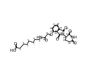 O=C(O)CCCCCCCNC(=O)COc1cccc2c1C(=O)N(C1CCC(=O)NC1=O)C2=O